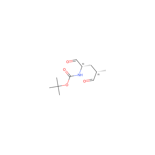 C[C@H](C=O)C[C@@H](C=O)NC(=O)OC(C)(C)C